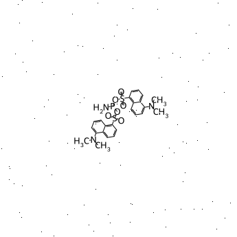 CN(C)c1cccc2c(S(=O)(=O)OP(N)OS(=O)(=O)c3cccc4c(N(C)C)cccc34)cccc12